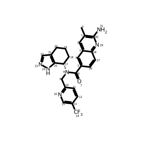 Cc1cc2cc(C(=O)N(Cc3ccc(C(F)(F)F)cn3)[C@H]3CCCc4cn[nH]c43)ccc2nc1N